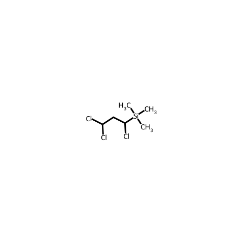 C[Si](C)(C)C(Cl)CC(Cl)Cl